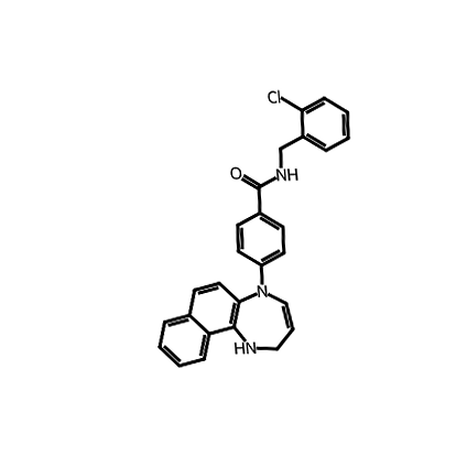 O=C(NCc1ccccc1Cl)c1ccc(N2C=CCNc3c2ccc2ccccc32)cc1